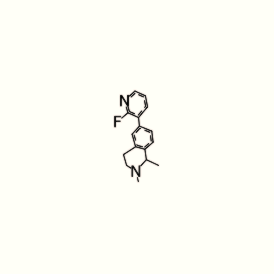 CC1c2ccc(-c3cccnc3F)cc2CCN1C